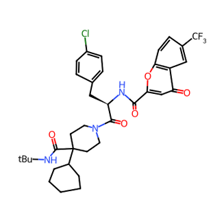 CC(C)(C)NC(=O)C1(C2CCCCC2)CCN(C(=O)[C@@H](Cc2ccc(Cl)cc2)NC(=O)c2cc(=O)c3cc(C(F)(F)F)ccc3o2)CC1